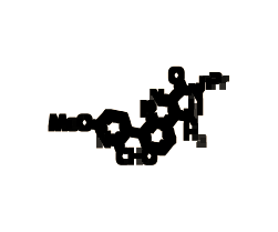 CCCNC(=O)c1nnc2c(-c3ccc(OC)nc3C=O)cccc2c1N